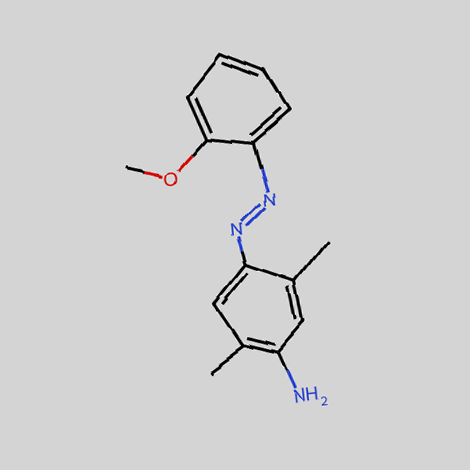 COc1ccccc1N=Nc1cc(C)c(N)cc1C